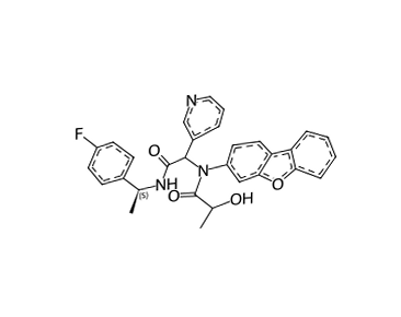 CC(O)C(=O)N(c1ccc2c(c1)oc1ccccc12)C(C(=O)N[C@@H](C)c1ccc(F)cc1)c1cccnc1